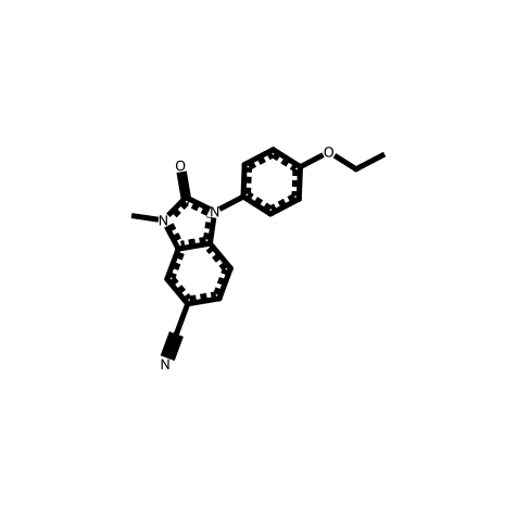 CCOc1ccc(-n2c(=O)n(C)c3cc(C#N)ccc32)cc1